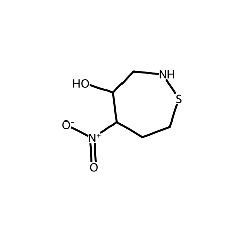 O=[N+]([O-])C1CCSNCC1O